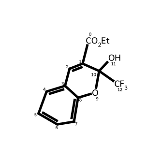 CCOC(=O)C1=Cc2ccccc2OC1(O)C(F)(F)F